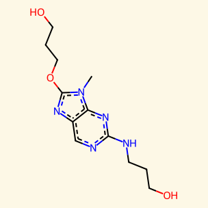 Cn1c(OCCCO)nc2cnc(NCCCO)nc21